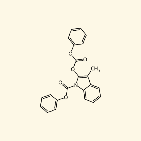 Cc1c(OC(=O)Oc2ccccc2)n(C(=O)Oc2ccccc2)c2ccccc12